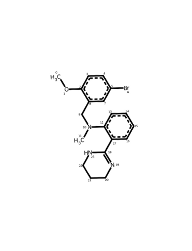 COc1ccc(Br)cc1CN(C)c1ccccc1C1=NCCCN1